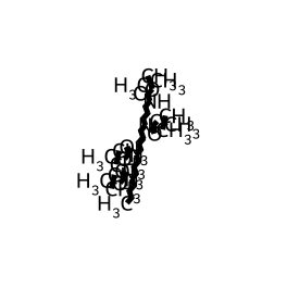 CCCCN(CCCN(C/C=C/CN(CCCNC(=O)OC(C)(C)C)C(=O)OC(C)(C)C)C(=O)OC(C)(C)C)C(=O)OC(C)(C)C